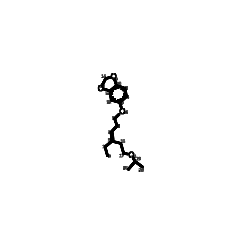 CCC(=CCCOc1ccc2c(c1)OCO2)CCOC(C)C